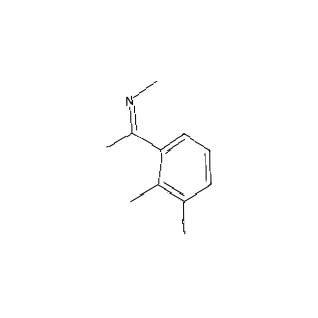 C/N=C(/C)c1cccc(C)c1C